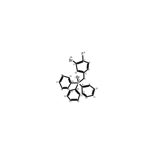 Fc1ccc(CP(Br)(c2ccccc2)(c2ccccc2)c2ccccc2)cc1Br